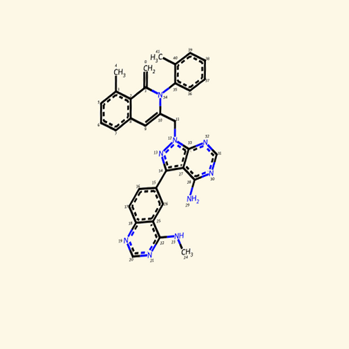 C=C1c2c(C)cccc2C=C(Cn2nc(-c3ccc4ncnc(NC)c4c3)c3c(N)ncnc32)N1c1ccccc1C